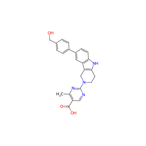 Cc1nc(N2CCc3[nH]c4ccc(-c5ccc(CO)cc5)cc4c3C2)ncc1C(=O)O